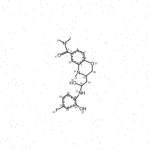 CN(C)C(=O)c1ccc2c(c1)N(C)C(CC(O)Nc1ccc(F)cc1O)CO2